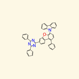 c1ccc(-c2nc(-c3ccccc3)nc(-c3ccc4c(c3)oc3c(-n5c6ccccc6c6ccccc65)ccc(-c5ccccc5)c34)n2)cc1